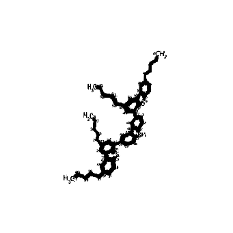 CCCCCc1ccc2sc3c(-c4ccc5[nH]c6ccc(-c7cc(CCCCC)cc8c7sc7ccc(CCCCC)cc78)cc6c5c4)cc(CCCCC)cc3c2c1